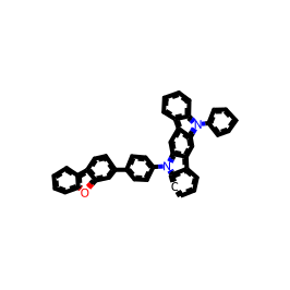 c1ccc(-n2c3ccccc3c3cc4c(cc32)c2ccccc2n4-c2ccc(-c3ccc4c(c3)oc3ccccc34)cc2)cc1